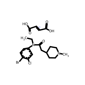 CCN(C(=O)CC1CCN(C)CC1)c1ccc(Br)c(Cl)c1.O=C(O)/C=C/C(=O)O